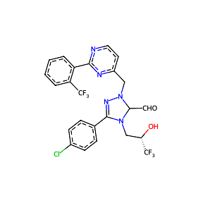 O=CC1N(Cc2ccnc(-c3ccccc3C(F)(F)F)n2)N=C(c2ccc(Cl)cc2)N1C[C@H](O)C(F)(F)F